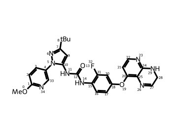 COc1ccc(-n2nc(C(C)(C)C)cc2NC(=O)Nc2ccc(Oc3ccnc4c3N=CCN4)cc2F)cn1